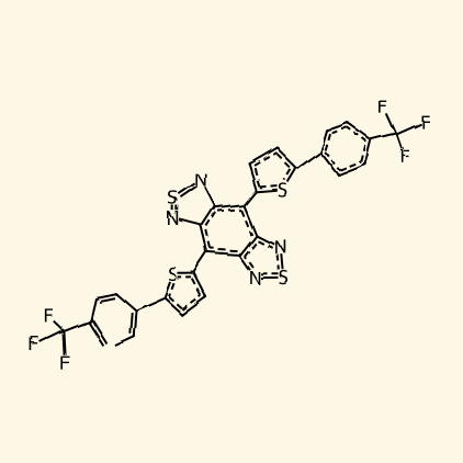 C=C(/C=C\C(=C/C)c1ccc(-c2c3c(c(-c4ccc(-c5ccc(C(F)(F)F)cc5)s4)c4nsnc24)N=S=N3)s1)C(F)(F)F